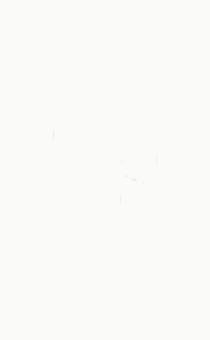 CCCCCC(C)C(=O)OC(Cl)Cl